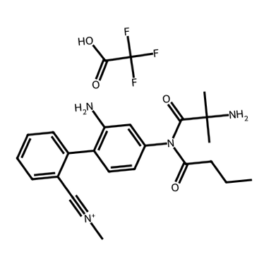 CCCC(=O)N(C(=O)C(C)(C)N)c1ccc(-c2ccccc2C#[N+]C)c(N)c1.O=C(O)C(F)(F)F